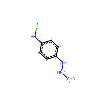 O=CNNc1ccc(NCl)cc1